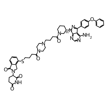 Nc1ncnc2c1c(-c1ccc(Oc3ccccc3)cc1)nn2[C@@H]1CCCN(C(=O)CCCN2CCN(C(=O)CCCSc3cccc4c3CN(C3CCC(=O)NC3=O)C4=O)CC2)C1